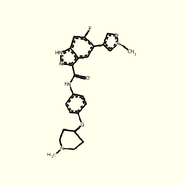 CN1CCC(Oc2ccc(NC(=O)c3n[nH]c4cc(F)c(-c5cnn(C)c5)cc34)cc2)CC1